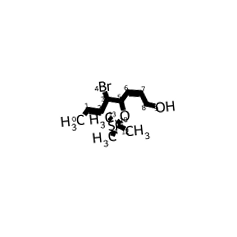 CC=CC(Br)C(/C=C\CO)O[Si](C)(C)C